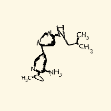 COc1ncc(-c2cc(NCC(C)C)ncn2)cc1N